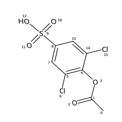 CC(=O)Oc1c(Cl)cc(S(=O)(=O)O)cc1Cl